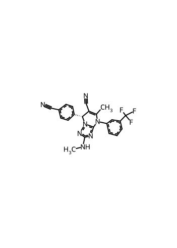 CNc1nc2n(n1)[C@H](c1ccc(C#N)cc1)C(C#N)=C(C)N2c1cccc(C(F)(F)F)c1